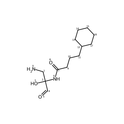 NCC(O)([C]=O)NC(=O)CCCC1CCCCC1